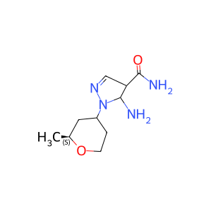 C[C@H]1CC(N2N=CC(C(N)=O)C2N)CCO1